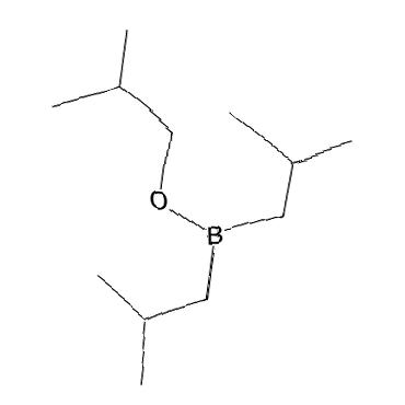 CC(C)COB(CC(C)C)CC(C)C